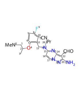 CNCC(C)Oc1ccc(F)c(C#N)c1CN(c1ccn2nc(N)c(C=O)c2n1)C(C)C